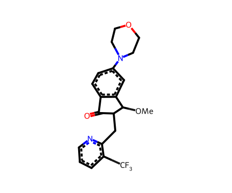 COC1c2cc(N3CCOCC3)ccc2C(=O)C1Cc1ncccc1C(F)(F)F